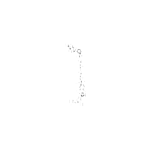 CC1(CN)CCN(c2cnc(SC3C=CC(NC(O)COCCOCCOCCOCC(=O)Nc4ccc5c(c4)C(=O)N(C4CCC(=O)NC4=O)C5)=CC3Cl)cn2)CC1